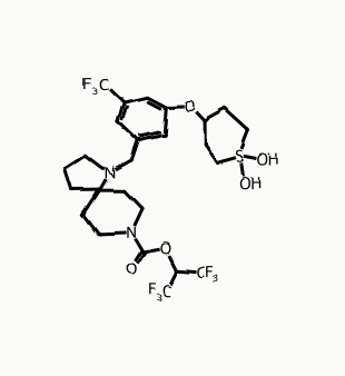 O=C(OC(C(F)(F)F)C(F)(F)F)N1CCC2(CCCN2Cc2cc(OC3CCS(O)(O)CC3)cc(C(F)(F)F)c2)CC1